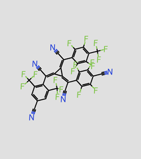 N#CC(=C1C(=C(\C#N)c2c(C(F)(F)F)cc(C#N)cc2C(F)(F)F)/C1=C(\C#N)c1c(F)c(F)c(C#N)c(F)c1F)c1c(F)c(F)c(C(F)(F)F)c(F)c1F